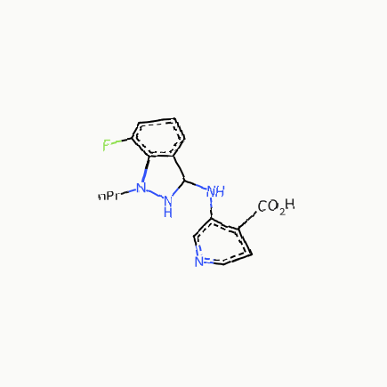 CCCN1NC(Nc2cnccc2C(=O)O)c2cccc(F)c21